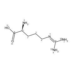 N[C@@H](CCCN=C([15NH2])[15NH2])C(=O)O